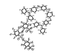 O=S(=O)([O-])c1c(F)c(F)c(F)c(F)c1F.O=S(=O)([O-])c1c(F)c(F)c(F)c(F)c1F.O=S(=O)([O-])c1c(F)c(F)c(F)c(F)c1F.c1ccc([S+](c2ccccc2)c2ccc(Sc3ccc([I+]c4ccc(Sc5ccc([S+](c6ccccc6)c6ccccc6)cc5)cc4)cc3)cc2)cc1